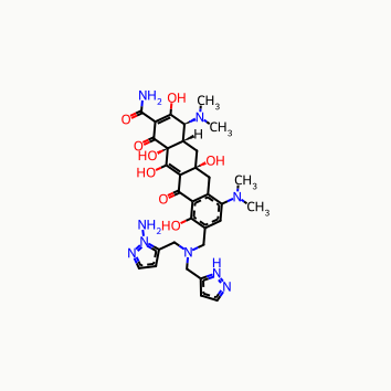 CN(C)c1cc(CN(Cc2ccn[nH]2)Cc2ccnn2N)c(O)c2c1C[C@@]1(O)C[C@H]3[C@H](N(C)C)C(O)=C(C(N)=O)C(=O)[C@@]3(O)C(O)=C1C2=O